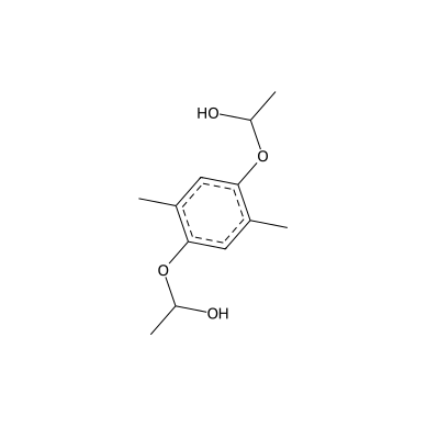 Cc1cc(OC(C)O)c(C)cc1OC(C)O